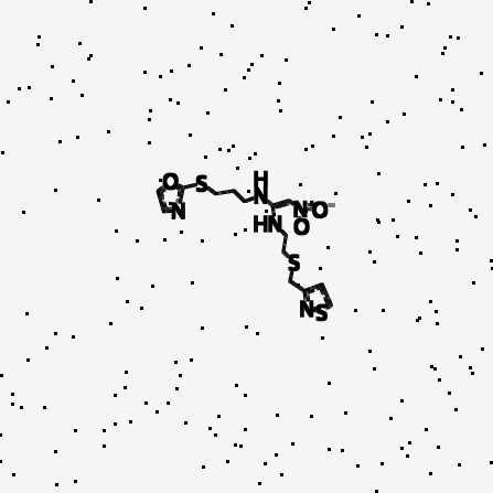 O=[N+]([O-])C=C(NCCCSc1ncco1)NCCSCc1ccsn1